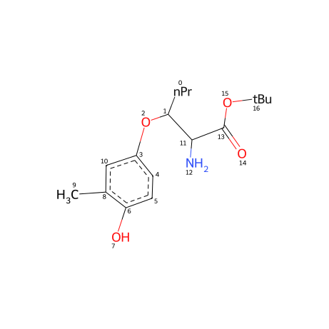 CCCC(Oc1ccc(O)c(C)c1)C(N)C(=O)OC(C)(C)C